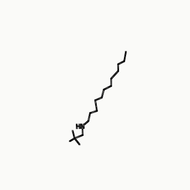 CCCCCCCCCCCCNCC(C)(C)C